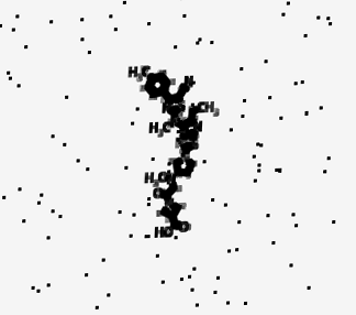 CCc1nc2sc(N3CC[C@H](N(C)CC(=O)N4CC(C(=O)O)C4)C3)nn2c1N(C)c1nc(-c2ccc(C)cc2)c(C#N)s1